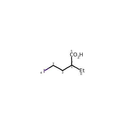 CCC(CCI)C(=O)O